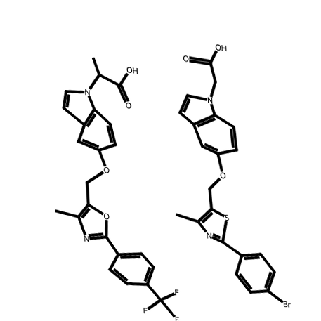 Cc1nc(-c2ccc(Br)cc2)sc1COc1ccc2c(ccn2CC(=O)O)c1.Cc1nc(-c2ccc(C(F)(F)F)cc2)oc1COc1ccc2c(ccn2C(C)C(=O)O)c1